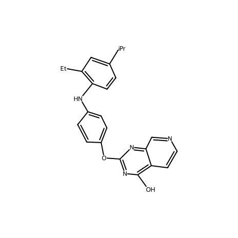 CCc1cc(C(C)C)ccc1Nc1ccc(Oc2nc(O)c3ccncc3n2)cc1